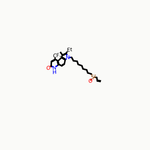 C=CC[S+]([O-])CCCCCCCCCn1c(CC)c(C)c2c3c(C(F)(F)F)cc(=O)[nH]c3ccc21